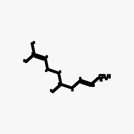 CC(C)=CCCC(C)CC=CC(=O)O